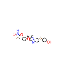 Cn1c(COc2ccc(CC3SC(=O)NC3=O)cc2)nc2ccc(Sc3ccc(O)cc3)cc21